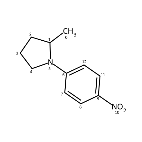 CC1CCCN1c1ccc([N+](=O)[O-])cc1